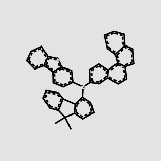 CC1(C)c2ccccc2-c2c(N(c3ccc4c(ccc5ccc6ccccc6c54)c3)c3ccc4c(c3)sc3ccccc34)cccc21